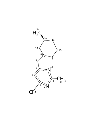 Cc1nc(Cl)cc(CN2CCC[C@H](C)C2)n1